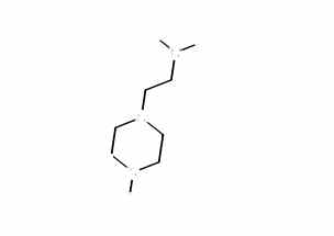 [CH2]CN1CCN(CCN(C)C)CC1